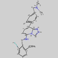 COc1cccc(F)c1CNc1ccc(-c2ccc(CN(C)C)cc2)c2nncn12